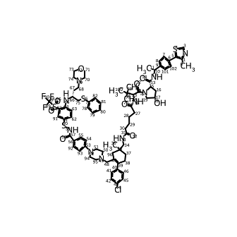 Cc1ncsc1-c1ccc([C@H](C)NC(=O)[C@@H]2C[C@@H](O)CN2C(=O)[C@@H](NC(=O)CCCCC(=O)NCC2(C)CCC(c3ccc(Cl)cc3)=C(CN3CCN(c4ccc(C(=O)NSc5ccc(N[C@H](CCN6CCOCC6)CSc6ccccc6)c(S(=O)(=O)C(F)(F)F)c5)cc4)CC3)C2)C(C)(C)C)cc1